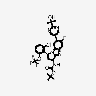 CC(C)(C)OC(=O)N[C@H]1C[C@@H](c2c(Cl)cccc2OC(F)(F)F)n2c1nc1cc(F)c(-c3cnc(C(C)(C)O)nc3)cc12